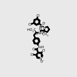 C[C@]1(C(=O)N[C@@H](Cc2ccc([AsH]C(=O)c3c(Cl)c[n+]([O-])cc3Cl)cc2)C(=O)O)CCCN1S(=O)(=O)c1cc(Cl)cc(Cl)c1